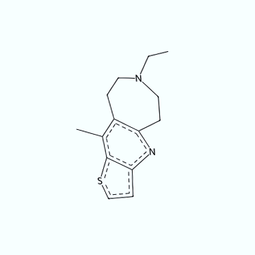 CCN1CCc2nc3ccsc3c(C)c2CC1